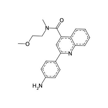 COCCN(C)C(=O)c1cc(-c2ccc(N)cc2)nc2ccccc12